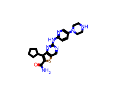 NC(=O)c1sc2cnc(Nc3ccc(N4CCNCC4)cn3)nc2c1C1CCCC1